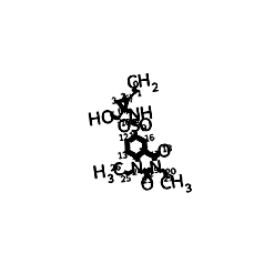 C=C[C@@H]1C[C@@]1(CO)NS(=O)(=O)c1ccc2c(c1)c(=O)n(CC)c(=O)n2CC